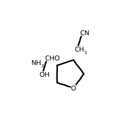 C1CCOC1.CC#N.N.O=CO